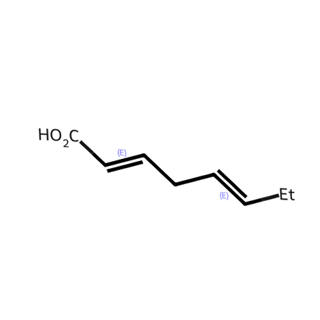 CC/C=C/C/C=C/C(=O)O